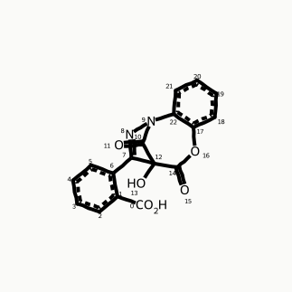 O=C(O)c1ccccc1C1=NN2C(=O)C1(O)C(=O)Oc1ccccc12